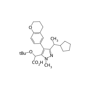 CC(c1nn(C)c(C(OC(C)(C)C)C(=O)O)c1-c1ccc2c(c1)CCCO2)C1CCCC1